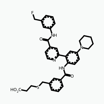 O=C(O)CCSCc1cccc(C(=O)Nc2ccc(N3CCCCC3)cc2-c2cc(C(=O)Nc3cccc(CF)c3)ccn2)c1